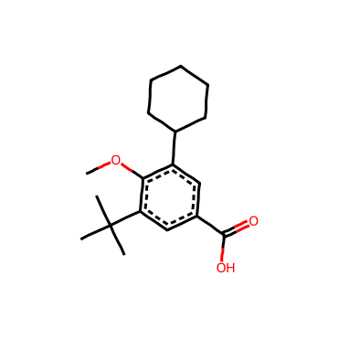 COc1c(C2CCCCC2)cc(C(=O)O)cc1C(C)(C)C